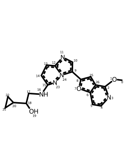 COc1nccc2oc(-c3cnc4ccc(NCC(O)C5CC5)nn34)cc12